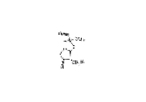 CCOC(=O)C1C(=O)CC2CC(OC)(OC)CC21